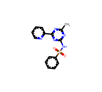 Cc1nc(NS(=O)(=O)c2ccccc2)nc(-c2ccccn2)n1